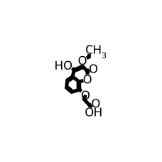 CCOc1c(O)c2cccc(OCC(=O)O)c2oc1=O